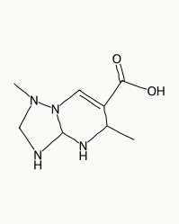 CC1NC2NCN(C)N2C=C1C(=O)O